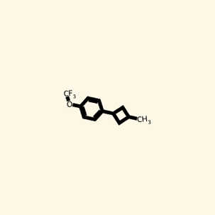 CC1CC(c2ccc(OC(F)(F)F)cc2)C1